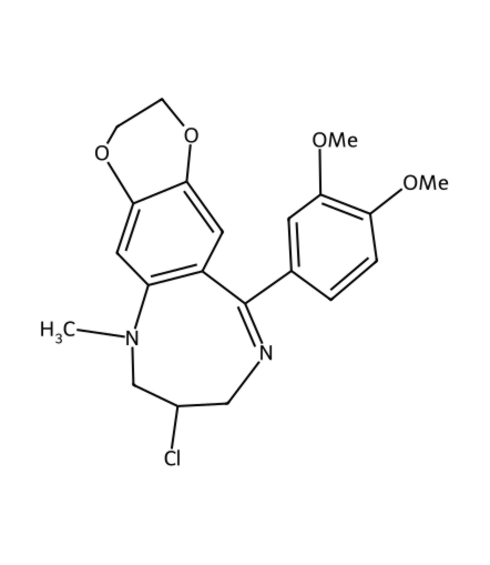 COc1ccc(C2=NCC(Cl)CN(C)c3cc4c(cc32)OCCO4)cc1OC